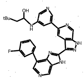 CC(C)(C)CC(O)Nc1cncc(-c2cc3c(-c4nc5c(-c6cccc(F)c6)cncc5[nH]4)n[nH]c3cn2)c1